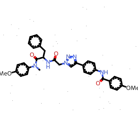 COc1ccc(C(=O)Nc2ccc(-c3cn(CC(=O)NC(Cc4ccccc4)C(=O)N(C)c4ccc(OC)cc4)nn3)cc2)cc1